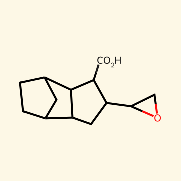 O=C(O)C1C(C2CO2)CC2C3CCC(C3)C21